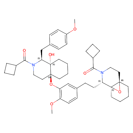 COc1ccc(C[C@@H]2N(C(=O)C3CCC3)CC[C@@]3(Oc4cc(CC[C@@H]5N(C(=O)C6CCC6)CC[C@]67CCCC[C@]56O7)ccc4OC)CCCC[C@]23O)cc1